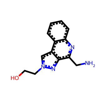 NCc1nc2ccccc2c2cn(CCO)nc12